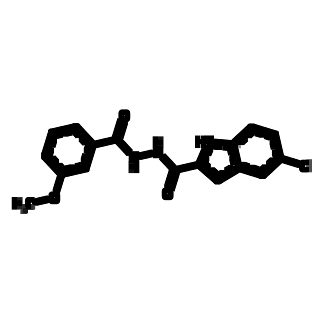 COc1cccc(C(=O)NNC(=O)c2cc3cc(Cl)ccc3[nH]2)c1